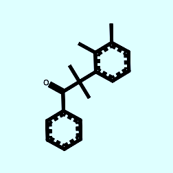 Cc1cccc(C(C)(C)C(=O)c2ccccc2)c1C